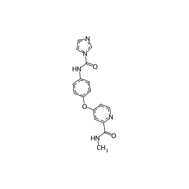 CNC(=O)c1cc(Oc2ccc(NC(=O)n3ccnc3)cc2)ccn1